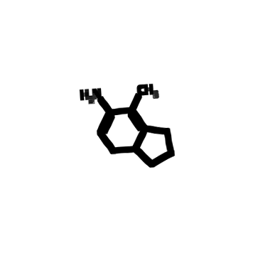 CC1=C2CCCC2CC=C1N